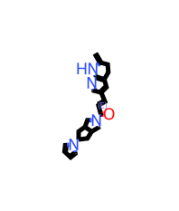 C=C1CCc2cc(/C=C/C(=O)N3CC4CC(n5cccc5)CC4C3)cnc2N1